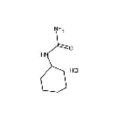 Cl.NC(=O)NC1CCCCC1